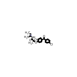 C/N=C(\N)NC(=O)C(C)(C)Oc1ccc(C(=O)c2ccc(Cl)cc2)cc1